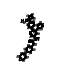 NC1(c2ccc(-c3ncc(NC(=O)CC4CCC(N5CCOCC5)CC4)cc3-c3ccsc3)cc2)CCC1